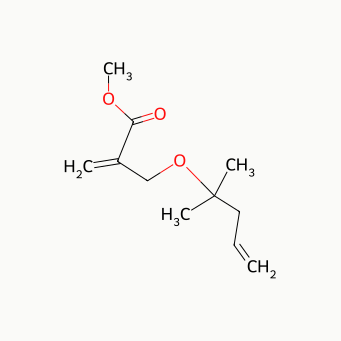 C=CCC(C)(C)OCC(=C)C(=O)OC